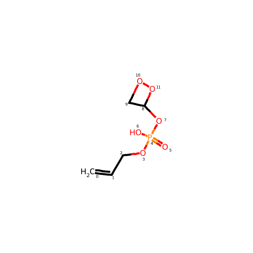 C=CCOP(=O)(O)OC1COO1